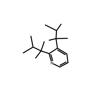 CC(C)C(C)(C)c1cccnc1C(C)(C)C(C)C